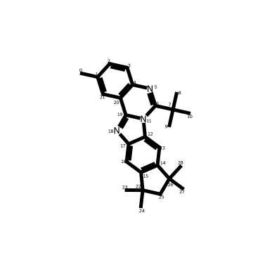 Cc1ccc2nc(C(C)(C)C)n3c4cc5c(cc4nc3c2c1)C(C)(C)CC5(C)C